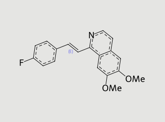 COc1cc2ccnc(/C=C/c3ccc(F)cc3)c2cc1OC